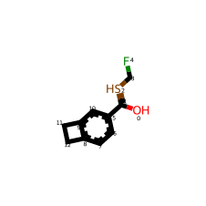 OC(=[SH]CF)c1ccc2c(c1)CC2